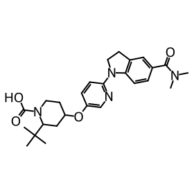 CN(C)C(=O)c1ccc2c(c1)CCN2c1ccc(OC2CCN(C(=O)O)C(C(C)(C)C)C2)cn1